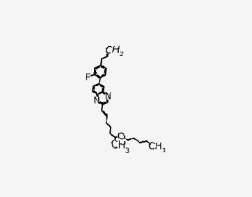 C=CCc1ccc(-c2ccc3nc(/C=C/CCCC(C)OCCCCC)cnc3c2)c(F)c1